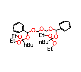 CCCCC(OCC)(OCC)OC(OCOCOC(OC(CCCC)(OCC)OCC)c1ccccc1)c1ccccc1